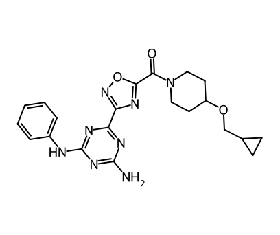 Nc1nc(Nc2ccccc2)nc(-c2noc(C(=O)N3CCC(OCC4CC4)CC3)n2)n1